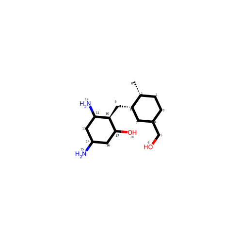 C[C@@H]1CCC(CO)C[C@@H]1C[C@@H]1C(N)CC(N)CC1O